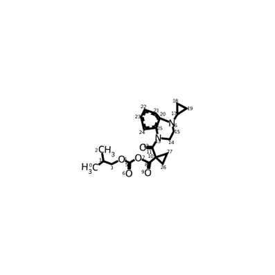 CC(C)COC(=O)OC(=O)C1(C(=O)N2CCN(C3CC3)c3ccccc32)CC1